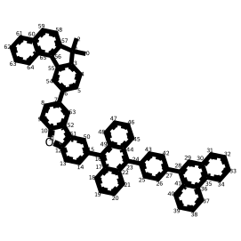 CC1(C)c2ccc(-c3ccc4oc5ccc(-c6c7ccccc7c(-c7ccc(-c8cc9ccccc9c9ccccc89)cc7)c7ccccc67)cc5c4c3)cc2-c2c1ccc1ccccc21